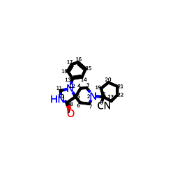 N#CC1(N2CCC3(CC2)C(=O)NCN3c2ccccc2)CCCCC1